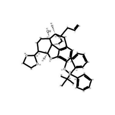 C=CCN1CC[C@]23c4c5ccc(O[Si](c6ccccc6)(c6ccccc6)C(C)(C)C)c4O[C@H]2C(C2OCCO2)CC[C@@]3(O)[C@H]1C5